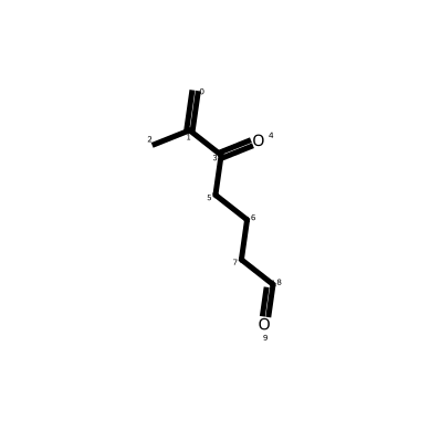 C=C(C)C(=O)CCC[C]=O